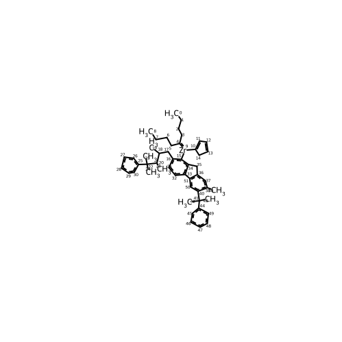 CCCC[C](CCCC)=[Zr]([C]1=CC=CC1)[c]1c(CC(C)C(C)C(C)(C)c2ccccc2)ccc2c1Cc1cc(C)c(C(C)(C)c3ccccc3)cc1-2